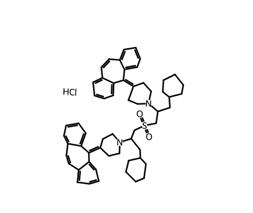 Cl.O=S(=O)(CC(CC1CCCCC1)N1CCC(=C2c3ccccc3C=Cc3ccccc32)CC1)CC(CC1CCCCC1)N1CCC(=C2c3ccccc3C=Cc3ccccc32)CC1